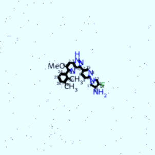 COc1cc2[nH]nc(-c3ccc(N4C[C@@H](F)[C@@H](N)C4)nc3)c2nc1-c1cccc(C)c1C